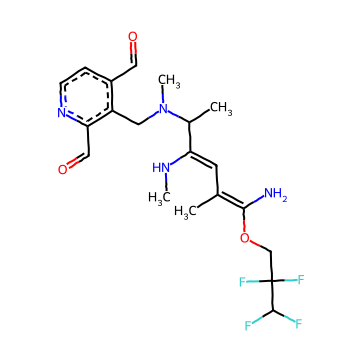 CN/C(=C\C(C)=C(/N)OCC(F)(F)C(F)F)C(C)N(C)Cc1c(C=O)ccnc1C=O